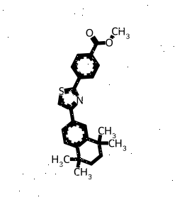 COC(=O)c1ccc(-c2nc(-c3ccc4c(c3)C(C)(C)CCC4(C)C)cs2)cc1